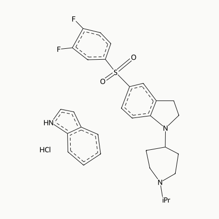 CC(C)N1CCC(N2CCc3cc(S(=O)(=O)c4ccc(F)c(F)c4)ccc32)CC1.Cl.c1ccc2[nH]ccc2c1